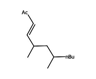 CCCCC(C)CC(C)/C=C/C(C)=O